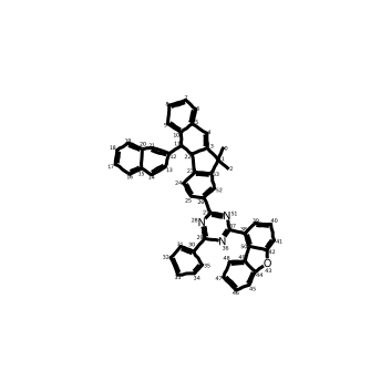 CC1(C)C2=Cc3ccccc3C(c3ccc4ccccc4c3)C2c2ccc(-c3nc(-c4ccccc4)nc(-c4cccc5oc6ccccc6c45)n3)cc21